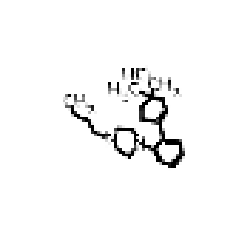 CCCCN1CCN(c2ccccc2C2=CCC(C)(C)CC2)CC1.Cl